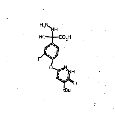 CC(C)(C)c1cc(Oc2ccc(C(C#N)(NN)C(=O)O)cc2F)n[nH]c1=O